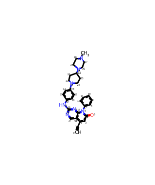 C#Cc1cc(=O)n(-c2ccccc2)c2nc(Nc3ccc(N4CCC(N5CCN(C)CC5)CC4)cc3)ncc12